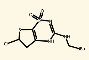 CCC(C)CNC1=NS(=O)(=O)C2=C(CC(Cl)S2)N1